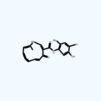 C/C1=C\C=C=C/C=C/C(=O)/C(C(=O)Nc2cc(O)c(C(C)C)cc2C(C)(C)C)=C\N1